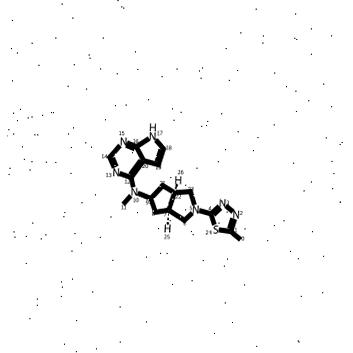 Cc1nnc(N2C[C@H]3CC(N(C)c4ncnc5[nH]ccc45)C[C@H]3C2)s1